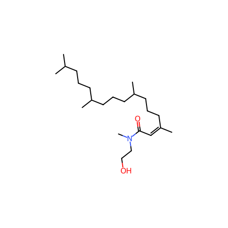 CC(=CC(=O)N(C)CCO)CCCC(C)CCCC(C)CCCC(C)C